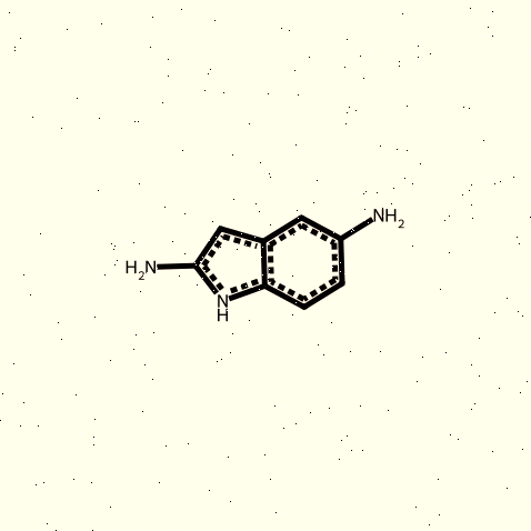 Nc1ccc2[nH]c(N)cc2c1